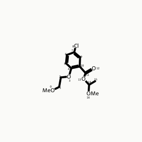 COCCOc1ccc(Cl)cc1C(=O)OC(C)OC